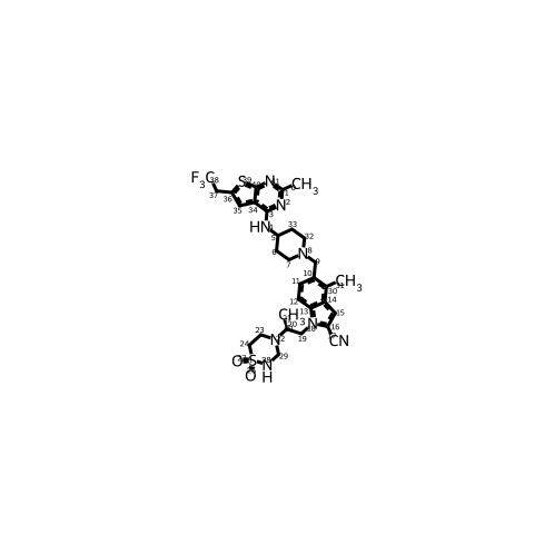 Cc1nc(NC2CCN(Cc3ccc4c(cc(C#N)n4C[C@H](C)N4CCS(=O)(=O)NC4)c3C)CC2)c2cc(CC(F)(F)F)sc2n1